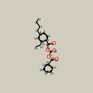 CCCCc1ccc(C(=O)OC(=O)OC(=O)c2ccccc2)c(CC)c1